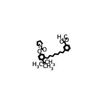 COC(=O)c1cccc(CCCCCCCc2cc(OC(=O)N3CCCC3)ccc2C(C)(C)C)c1